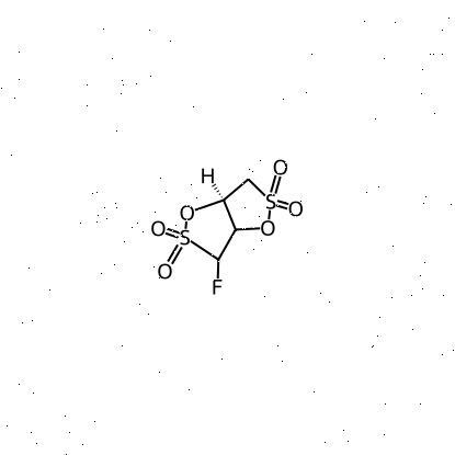 O=S1(=O)C[C@@H]2OS(=O)(=O)C(F)C2O1